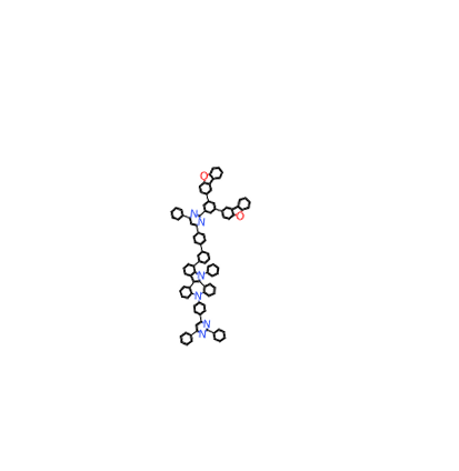 c1ccc(-c2cc(-c3ccc(N4c5ccccc5-c5c(n(-c6ccccc6)c6c(-c7cccc(-c8ccc(-c9cc(-c%10ccccc%10)nc(-c%10cc(-c%11ccc%12oc%13ccccc%13c%12c%11)cc(-c%11ccc%12oc%13ccccc%13c%12c%11)c%10)n9)cc8)c7)cccc56)-c5ccccc54)cc3)nc(-c3ccccc3)n2)cc1